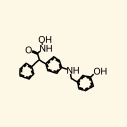 O=C(NO)C(c1ccccc1)c1ccc(NCc2cccc(O)c2)cc1